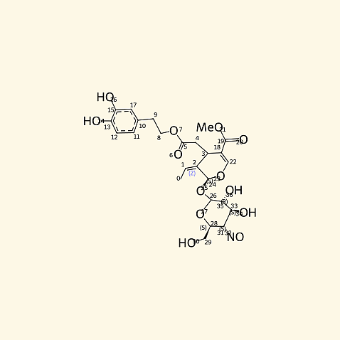 C/C=C1/C(CC(=O)OCCc2ccc(O)c(O)c2)C(C(=O)OC)=CO[C@H]1OC1O[C@H](CO)[C@@H](N=O)[C@H](O)[C@H]1O